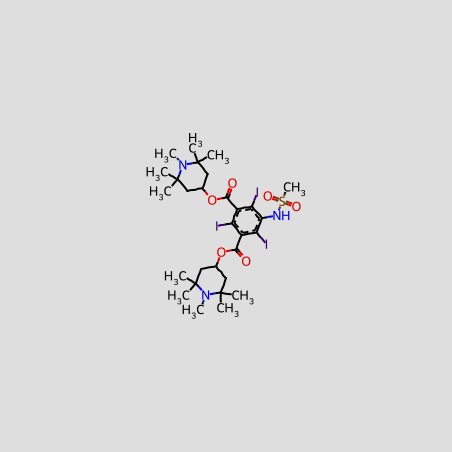 CN1C(C)(C)CC(OC(=O)c2c(I)c(NS(C)(=O)=O)c(I)c(C(=O)OC3CC(C)(C)N(C)C(C)(C)C3)c2I)CC1(C)C